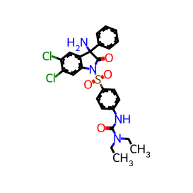 CCN(CC)C(=O)Nc1ccc(S(=O)(=O)N2C(=O)C(N)(c3ccccc3)c3cc(Cl)c(Cl)cc32)cc1